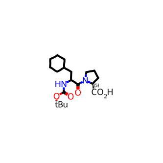 CC(C)(C)OC(=O)NC(CC1CCCCC1)C(=O)N1CCC[C@H]1C(=O)O